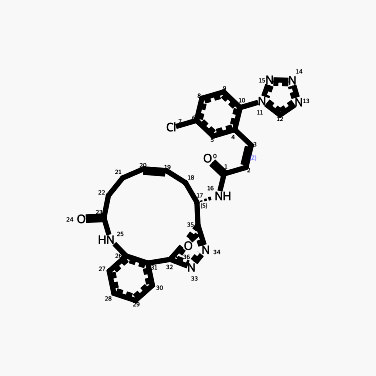 O=C(/C=C\c1cc(Cl)ccc1-n1cnnn1)N[C@H]1CC=CCCC(=O)Nc2ccccc2-c2nnc1o2